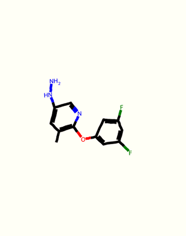 Cc1cc(NN)cnc1Oc1cc(F)cc(F)c1